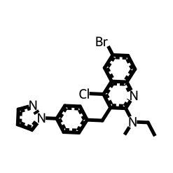 CCN(C)c1nc2ccc(Br)cc2c(Cl)c1Cc1ccc(-n2cccn2)cc1